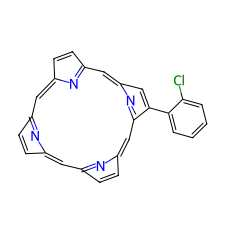 Clc1ccccc1C1=CC2=CC3=NC(=CC4=NC(=CC5=NC(=CC1=N2)C=C5)C=C4)C=C3